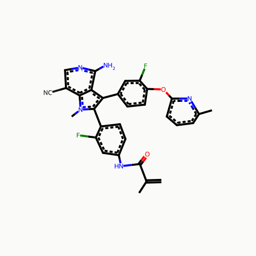 C=C(C)C(=O)Nc1ccc(-c2c(-c3ccc(Oc4cccc(C)n4)c(F)c3)c3c(N)ncc(C#N)c3n2C)c(F)c1